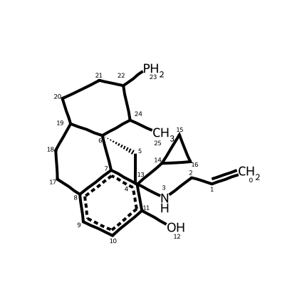 C=CCNCC[C@]12c3c(ccc(O)c3C3CC3)CCC1CCC(P)C2C